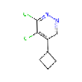 Clc1nncc(C2CCC2)c1Cl